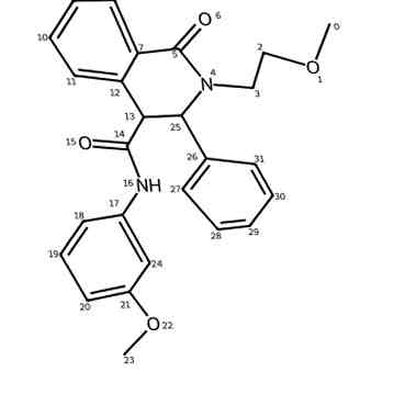 COCCN1C(=O)c2ccccc2C(C(=O)Nc2cccc(OC)c2)C1c1ccccc1